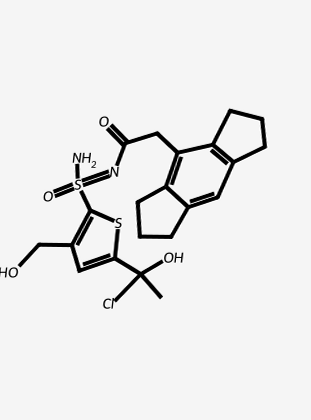 CC(O)(Cl)c1cc(CO)c(S(N)(=O)=NC(=O)Cc2c3c(cc4c2CCC4)CCC3)s1